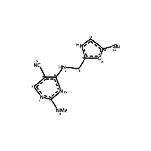 CNc1ncc(C#N)c(NCc2ncc(C(C)(C)C)o2)n1